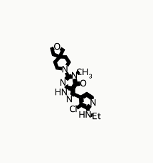 CCNc1nccc(-c2n[nH]c3nc(N4CCC5(CCOC5)CC4)n(C)c(=O)c23)c1Cl